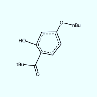 CCCCOc1ccc(C(=O)C(C)(C)C)c(O)c1